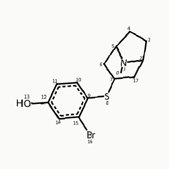 CN1C2CCC1CC(Sc1ccc(O)cc1Br)C2